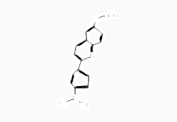 CCCCOc1ccc2nc(-c3ccc(N(CC)CC)cc3)ccc2c1